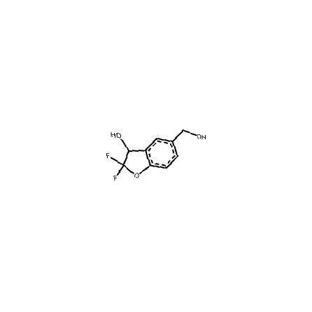 OCc1ccc2c(c1)C(O)C(F)(F)O2